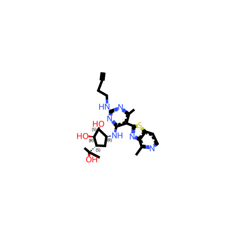 C#CCCNc1nc(C)c(-c2nc3c(C)nccc3s2)c(N[C@@H]2C[C@H](C(C)(C)O)[C@@H](O)[C@H]2O)n1